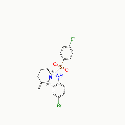 C=C1CCC[C@]23Nc4ccc(Br)cc4[C@]12CCCN3S(=O)(=O)c1ccc(Cl)cc1